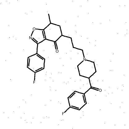 CC1CC(CCCN2CCC(C(=O)c3ccc(F)cc3)CC2)C(=O)c2c(-c3ccc(F)cc3)noc21